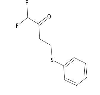 O=C(CCSc1ccccc1)C(F)F